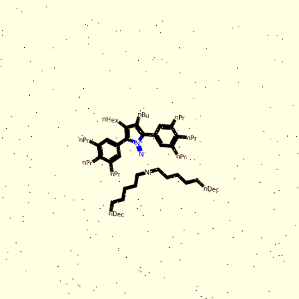 CCCCCCC1=C(c2cc(CCC)c(CCC)c(CCC)c2)[N+](=[N-])C(c2cc(CCC)c(CCC)c(CCC)c2)=C1CCCC.CCCCCCCCCCCCCC[CH2][Ni][CH2]CCCCCCCCCCCCCC